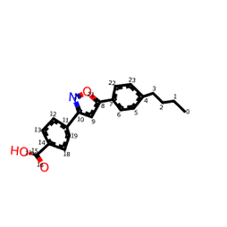 CCCCc1ccc(-c2cc(-c3ccc(C(=O)O)cc3)no2)cc1